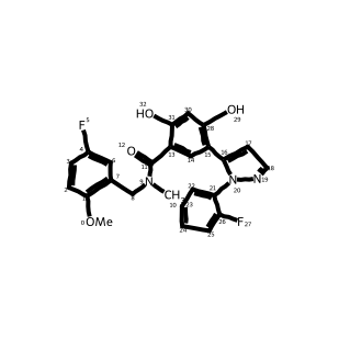 COc1ccc(F)cc1CN(C)C(=O)c1cc(-c2ccnn2-c2ccccc2F)c(O)cc1O